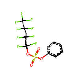 O=S(=O)(Oc1ccccc1)OC(F)(F)C(F)(F)C(F)(F)C(F)(F)F